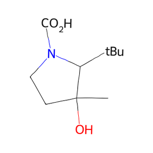 CC(C)(C)C1N(C(=O)O)CCC1(C)O